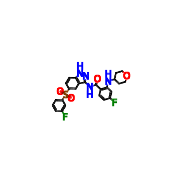 O=C(Nc1n[nH]c2ccc(S(=O)(=O)c3cccc(F)c3)cc12)c1ccc(F)cc1NC1CCOCC1